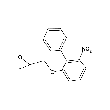 O=[N+]([O-])c1cccc(OCC2CO2)c1-c1ccccc1